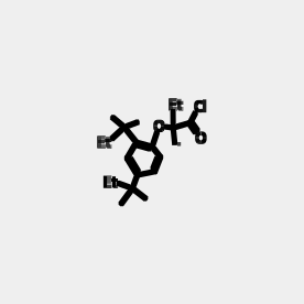 [CH2]C(CC)(Oc1ccc(C(C)(C)CC)cc1C(C)(C)CC)C(=O)Cl